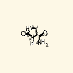 NC(=O)[C@H]1CNC(=O)N1